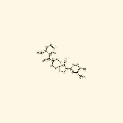 COc1cc(N2CCC3(CCN(C(=O)c4ccccc4OC)CC3)C2=O)ccc1Br